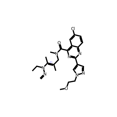 C=NN(CC)/C(C)=C(\C)CN(C)C(=O)c1nc(-c2cnn(CCOC)c2)nc2ccc(Cl)cc12